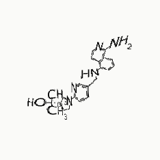 CC(C)(O)[C@H]1CCN(c2ccc(CNc3cccc4c(N)nccc34)cn2)C1